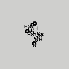 CC(C)(C)NC(=O)[C@@H]1CN(Cc2cccnc2)CCN1C[C@@H](O)C[C@@H](Cc1ccccc1)C(=O)NC1c2ccccc2C[C@H]1O